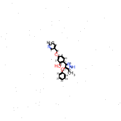 C/C=C(\C=N/C)COc1ccc(-c2n[nH]c(C)c2Oc2ccccc2)c(O)c1